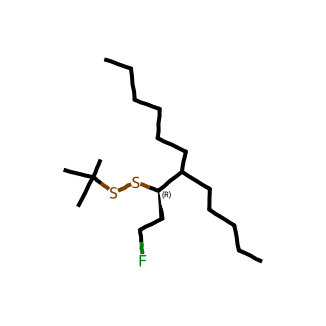 CCCCCCC(CCCCC)[C@@H](CCF)SSC(C)(C)C